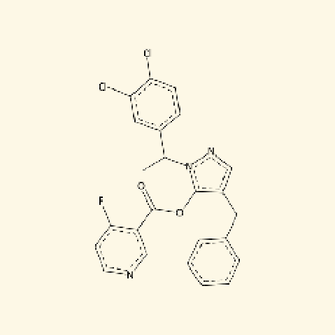 CC(c1ccc(Cl)c(Cl)c1)n1ncc(Cc2ccccc2)c1OC(=O)c1cnccc1F